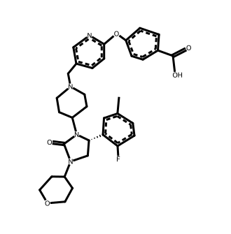 Cc1ccc(F)c([C@@H]2CN(C3CCOCC3)C(=O)N2C2CCN(Cc3ccc(Oc4ccc(C(=O)O)cc4)nc3)CC2)c1